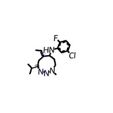 C/C=C1\C[C@H](C(C)C)/N=N\N(C)CCC1Nc1cc(Cl)ccc1F